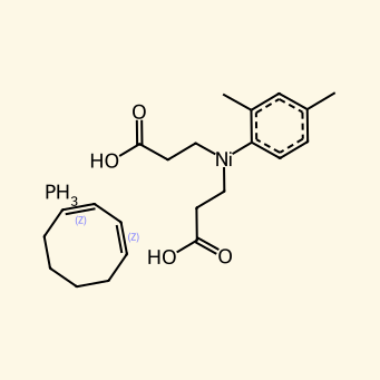 C1=C\CCCC\C=C/1.Cc1cc[c]([Ni]([CH2]CC(=O)O)[CH2]CC(=O)O)c(C)c1.P